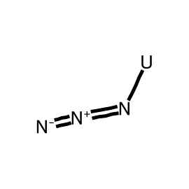 [N-]=[N+]=[N][U]